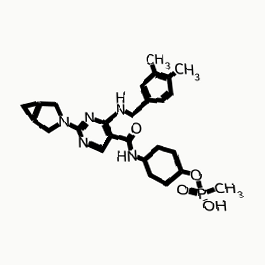 Cc1ccc(CNc2nc(N3CC4CC4C3)ncc2C(=O)NC2CCC(OP(C)(=O)O)CC2)cc1C